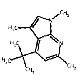 Cc1cc(C(C)(C)C)c2c(C)cn(C)c2n1